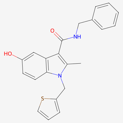 Cc1c(C(=O)NCc2ccccc2)c2cc(O)ccc2n1Cc1cccs1